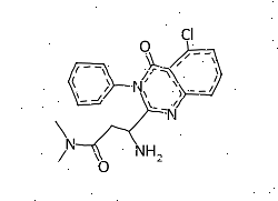 CN(C)C(=O)CC(N)c1nc2cccc(Cl)c2c(=O)n1-c1ccccc1